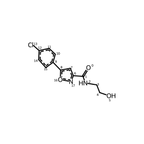 O=C(NCCO)c1cc(-c2ccc(Cl)cc2)on1